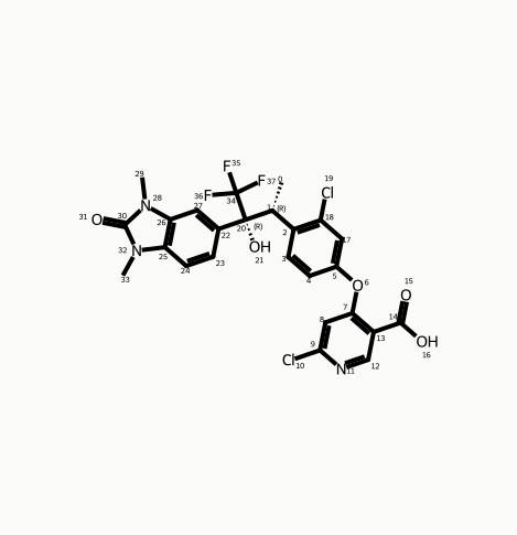 C[C@H](c1ccc(Oc2cc(Cl)ncc2C(=O)O)cc1Cl)[C@@](O)(c1ccc2c(c1)n(C)c(=O)n2C)C(F)(F)F